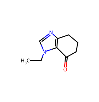 CCn1cnc2c1C(=O)CCC2